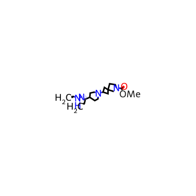 C=CN/N=C(\C=C)C1CCN(C2CC3(CCN(C(=O)OC)C3)C2)CC1